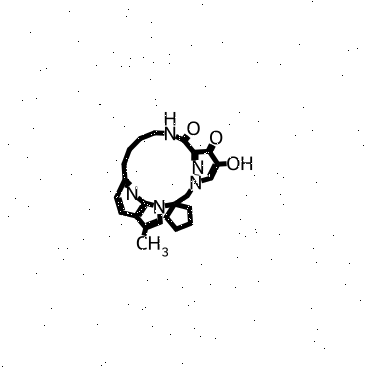 Cc1cn2c3nc(ccc13)CCCCNC(=O)c1nn(cc(O)c1=O)CC21CCCC1